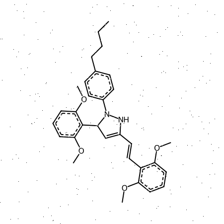 CCCCc1ccc(N2NC(C=Cc3c(OC)cccc3OC)=CC2c2c(OC)cccc2OC)cc1